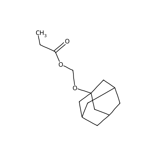 CCC(=O)OCOC12CC3CC(CC(C3)C1)C2